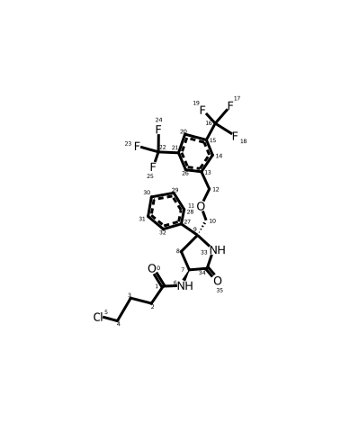 O=C(CCCCl)N[C@H]1C[C@@](COCc2cc(C(F)(F)F)cc(C(F)(F)F)c2)(c2ccccc2)NC1=O